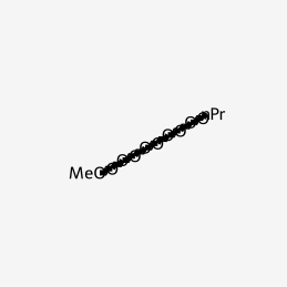 CCCOCCOCCOCCOCCOCCOCCOCCOCCOCCOC